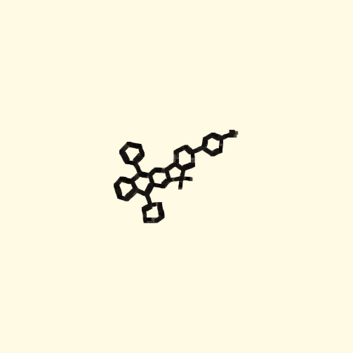 CC1(C)c2cc(-c3ccc(Br)cc3)ccc2-c2cc3c(-c4ccccc4)c4ccccc4c(-c4ccccc4)c3cc21